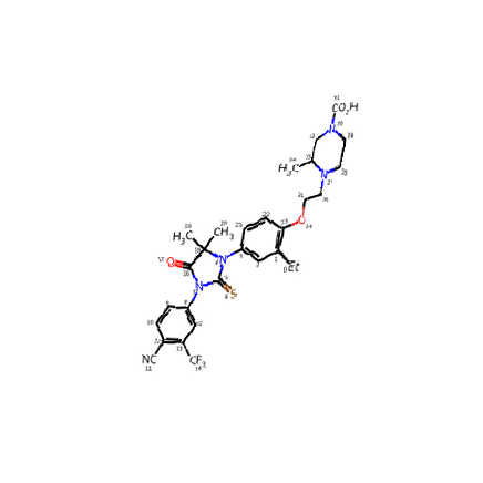 CCc1cc(N2C(=S)N(c3ccc(C#N)c(C(F)(F)F)c3)C(=O)C2(C)C)ccc1OCCN1CCN(C(=O)O)CC1C